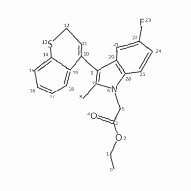 CCOC(=O)Cn1c(C)c(C2=CCSc3ccccc32)c2cc(F)ccc21